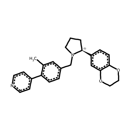 Cc1cc(CN2CCC[C@H]2c2ccc3c(c2)OCCO3)ccc1-c1ccncc1